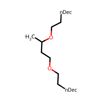 [CH2]C(CCOCCCCCCCCCCCC)OCCCCCCCCCCCC